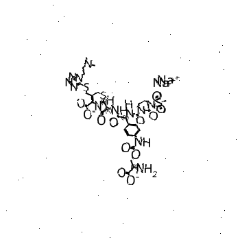 CN(C)CCn1nnnc1SCC1=C(C(=O)[O-])N2C(=O)[C@@H](NC(=O)[C@H](NC(=O)N3CCN(S(C)(=O)=O)C3=O)c3ccc(NC(=O)OC[C@@H](N)C(=O)[O-])cc3)[C@@H]2SC1.[Na+].[Na+]